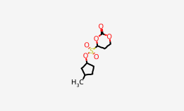 CC1CCC(OS(=O)(=O)C2CCOC(=O)O2)C1